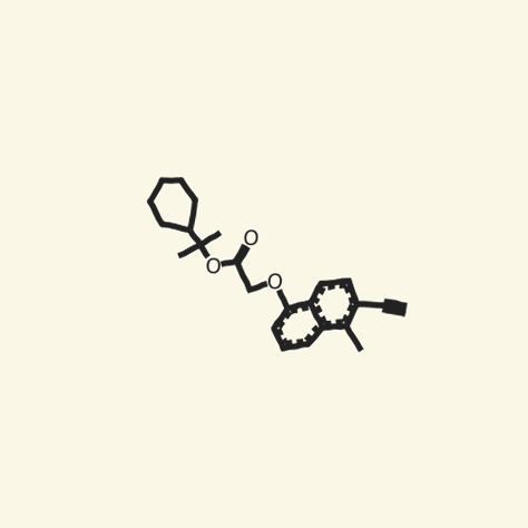 C#Cc1ccc2c(OCC(=O)OC(C)(C)C3CCCCC3)cccc2c1C